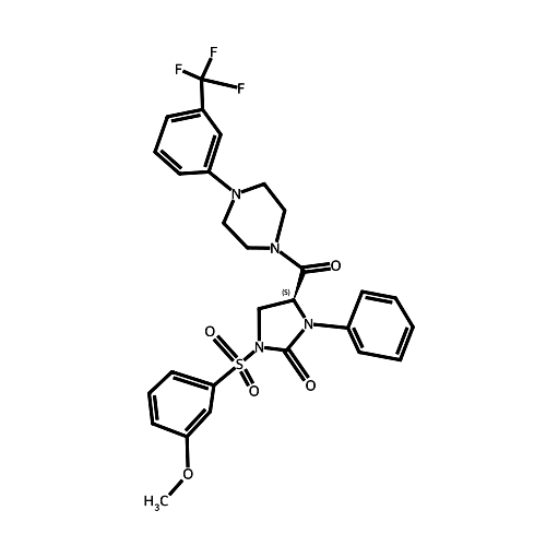 COc1cccc(S(=O)(=O)N2C[C@@H](C(=O)N3CCN(c4cccc(C(F)(F)F)c4)CC3)N(c3ccccc3)C2=O)c1